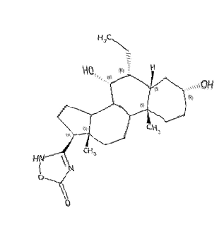 CC[C@H]1[C@@H](O)C2C3CC[C@H](c4nc(=O)o[nH]4)[C@@]3(C)CCC2[C@@]2(C)CC[C@@H](O)C[C@@H]12